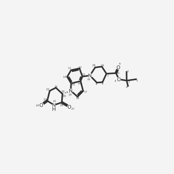 CC(C)(C)OC(=O)C1CCN(c2cccc3c2ccn3[C@H]2CCC(=O)NC2=O)CC1